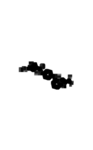 CCCn1cc(C(=O)Nc2ccc(Nc3cccc4nc(C(F)F)cn34)cc2)cn1